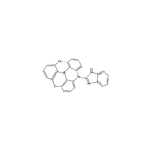 c1cc2c3c(c1)Oc1cccc4c1B3c1c(cccc1N4c1nc3ccccc3[nH]1)O2